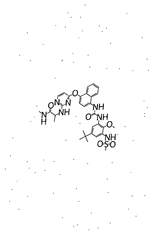 CNC(=O)C(C)Nc1nccc(Oc2ccc(NC(=O)Nc3cc(C(C)(C)C)cc(NS(C)(=O)=O)c3OC)c3ccccc23)n1